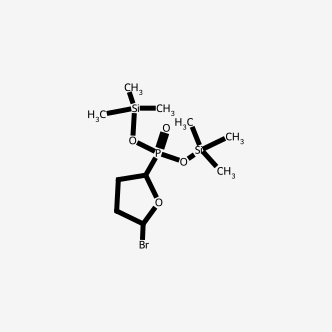 C[Si](C)(C)OP(=O)(O[Si](C)(C)C)C1CCC(Br)O1